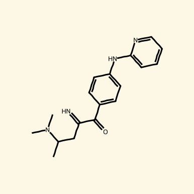 CC(CC(=N)C(=O)c1ccc(Nc2ccccn2)cc1)N(C)C